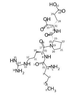 CSCC[C@H](N)C(=O)N[C@@H](CCCNC(=N)N)C(=O)N1CCC[C@H]1C(=O)N[C@@H](CCC(=O)O)C(=O)O